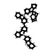 c1ccc2c(c1)-c1ccc(-n3c4ccccc4c4cc(-c5ccc6c(c5)c5ccccc5n6-c5ccc6c(c5)oc5ccccc56)ccc43)cc1C21C2CC3CCC4(C3)CC1C24